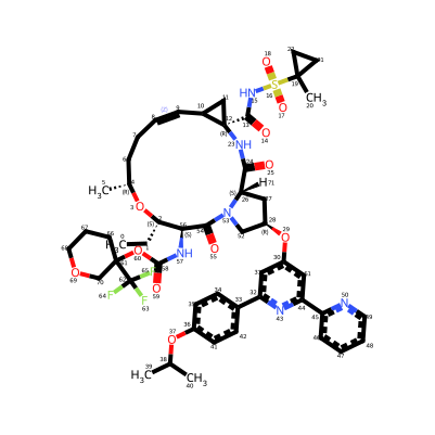 CC[C@@H]1O[C@H](C)CC/C=C\C2C[C@@]2(C(=O)NS(=O)(=O)C2(C)CC2)NC(=O)[C@@H]2C[C@@H](Oc3cc(-c4ccc(OC(C)C)cc4)nc(-c4ccccn4)c3)CN2C(=O)[C@H]1NC(=O)OC1(C(F)(F)F)CCCOC1